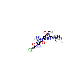 CN(C)CCCN(C)C(=O)c1cc(N(C)C(=O)c2cc(NC(=O)CCCl)c[nH]2)c[nH]1